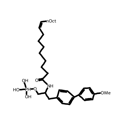 CCCCCCCC/C=C\CCCCCCCC(=O)NC(CO[PH](O)(O)O)Cc1ccc(-c2ccc(OC)cc2)cc1